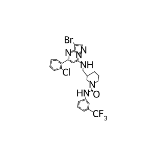 O=C(Nc1cccc(C(F)(F)F)c1)N1CCCC(CNc2cc(-c3ccccc3Cl)nc3c(Br)cnn23)C1